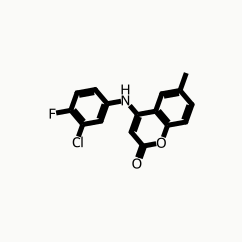 Cc1ccc2oc(=O)cc(Nc3ccc(F)c(Cl)c3)c2c1